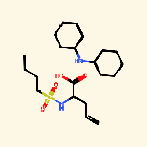 C1CCC(NC2CCCCC2)CC1.C=CCC(NS(=O)(=O)CCCC)C(=O)O